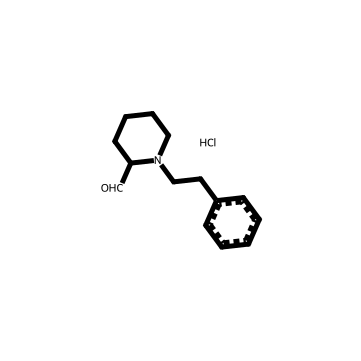 Cl.O=CC1CCCCN1CCc1ccccc1